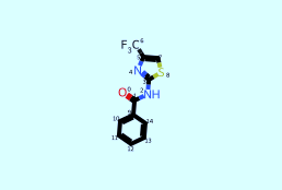 O=C(Nc1nc(C(F)(F)F)cs1)c1ccccc1